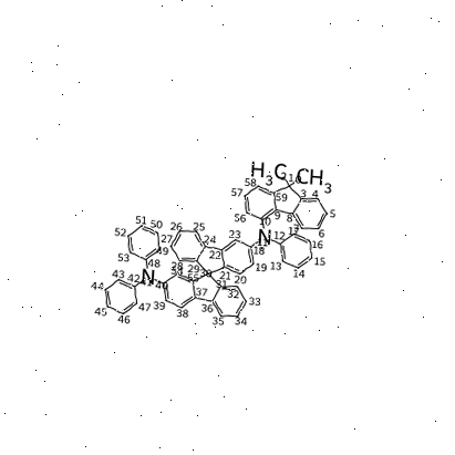 CC1(C)c2ccccc2-c2c(N(c3ccccc3)c3ccc4c(c3)-c3ccccc3C43c4ccccc4-c4ccc(N(c5ccccc5)c5ccccc5)cc43)cccc21